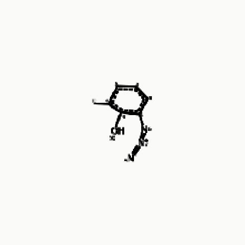 Cc1cccc(N=[N+]=[N-])c1O